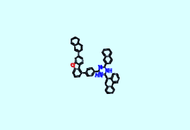 c1ccc2cc(C3=NC(c4ccc(-c5cccc6oc7cc(-c8ccc9ccccc9c8)ccc7c56)cc4)NC(c4cc5ccccc5c5ccccc45)N3)ccc2c1